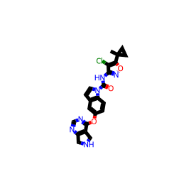 CC1(c2onc(NC(=O)n3ccc4cc(Oc5ncnc6c5CNC6)ccc43)c2Cl)CC1